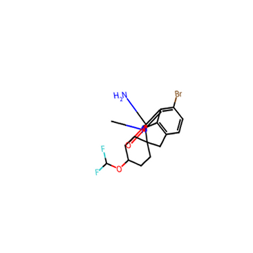 CN1C(=O)C2(N=C1N)c1cc(Br)ccc1CC21CCC(OC(F)F)CC1